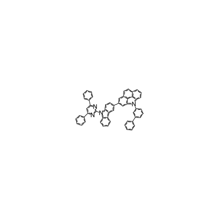 c1ccc(-c2cccc(-n3c4cccc5ccc6cc(-c7ccc8c(c7)c7ccccc7n8-c7nc(-c8ccccc8)cc(-c8ccccc8)n7)cc3c6c54)c2)cc1